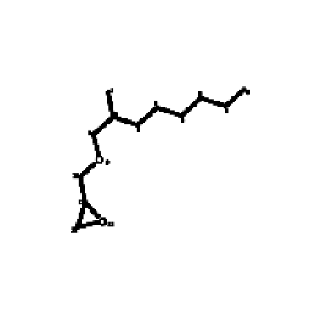 CCCCCCC(C)COCC1CO1